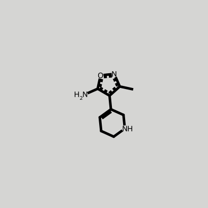 Cc1noc(N)c1C1=CCCNC1